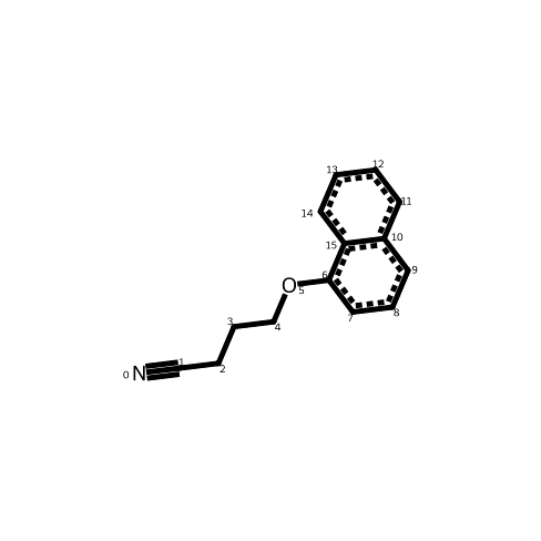 N#CCCCOc1cccc2ccccc12